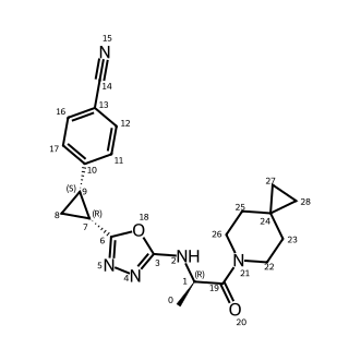 C[C@@H](Nc1nnc([C@@H]2C[C@@H]2c2ccc(C#N)cc2)o1)C(=O)N1CCC2(CC1)CC2